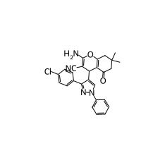 CC1(C)CC(=O)C2=C(C1)OC(N)=C(C#N)C2c1cn(-c2ccccc2)nc1-c1ccc(Cl)cc1